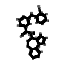 O=C(NC1CCc2ccccc2-n2ccnc21)c1cc(Oc2ccccc2F)cnn1